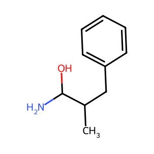 CC(Cc1ccccc1)C(N)O